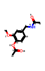 COc1cc(CNC(C)=O)ccc1OC(C)=O